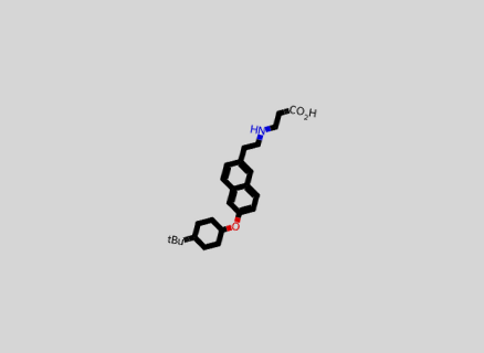 CC(C)(C)C1CCC(Oc2ccc3cc(CCNCCC(=O)O)ccc3c2)CC1